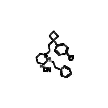 O[C@@H]1CCCN(CCC2(c3ccc(Cl)cc3)CCC2)[C@@H]1CCc1ccccc1